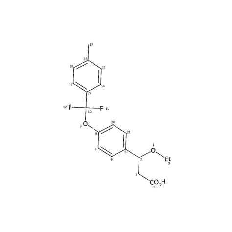 CCOC(CC(=O)O)c1ccc(OC(F)(F)c2ccc(C)cc2)cc1